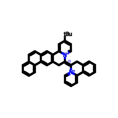 CC(C)(C)c1cc[n+]2c(c1)-c1cc3ccc4ccccc4c3cc1C/C2=C1/Cc2ccccc2-c2cccc[n+]21